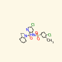 Cc1cc(S(=O)(=O)Nc2cc(Cl)cnc2C(=O)N2CCc3ccccc32)ccc1Cl